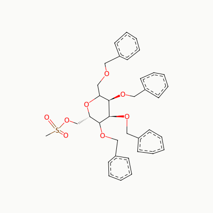 CS(=O)(=O)OC[C@@H]1OC(COCc2ccccc2)[C@@H](OCc2ccccc2)[C@@H](OCc2ccccc2)C1OCc1ccccc1